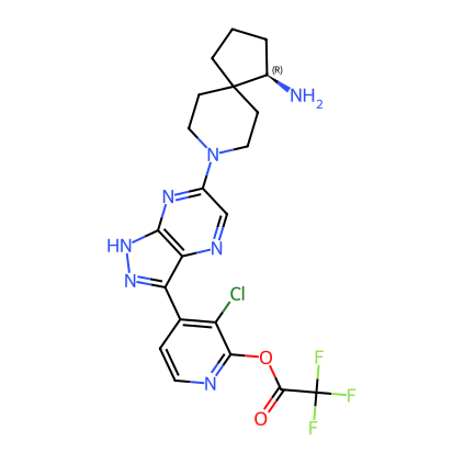 N[C@@H]1CCCC12CCN(c1cnc3c(-c4ccnc(OC(=O)C(F)(F)F)c4Cl)n[nH]c3n1)CC2